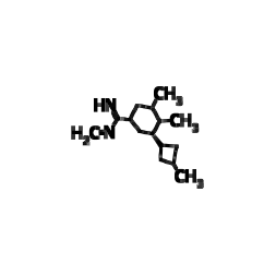 C=NC(=N)C1CC(C)C(C)[C@@H](C2CC(C)C2)C1